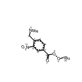 CNCc1ccc(C(=O)OOC(C)(C)C)cc1[N+](=O)[O-]